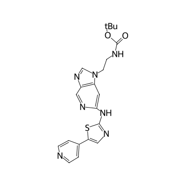 CC(C)(C)OC(=O)NCCn1cnc2cnc(Nc3ncc(-c4ccncc4)s3)cc21